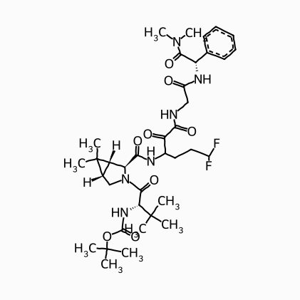 CN(C)C(=O)[C@@H](NC(=O)CNC(=O)C(=O)C(CCC(F)F)NC(=O)[C@@H]1[C@@H]2[C@H](CN1C(=O)[C@@H](NC(=O)OC(C)(C)C)C(C)(C)C)C2(C)C)c1ccccc1